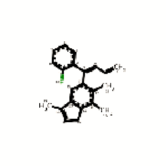 C=C/C=C(/c1ccccc1F)c1cc2c(c(C)c1C)CC=C2C